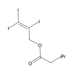 CC(C)CC(=O)OCC(I)=C(I)I